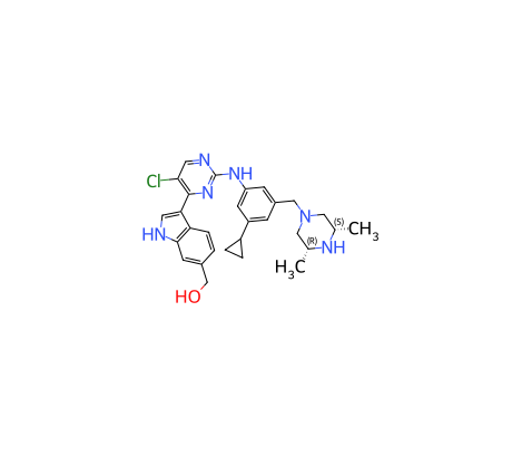 C[C@@H]1CN(Cc2cc(Nc3ncc(Cl)c(-c4c[nH]c5cc(CO)ccc45)n3)cc(C3CC3)c2)C[C@H](C)N1